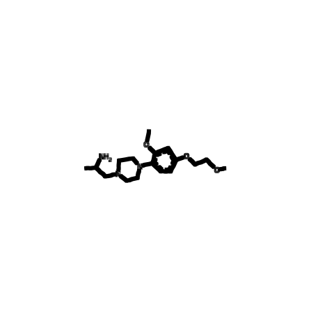 COCCOc1ccc(N2CCN(CC(C)N)CC2)c(OC)c1